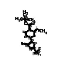 CCC1CN(c2sc(C(F)(F)F)nc2Br)CCN1C(=O)OC(C)(C)C